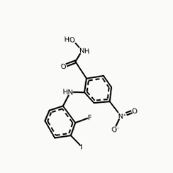 O=C(NO)c1ccc([N+](=O)[O-])cc1Nc1cccc(I)c1F